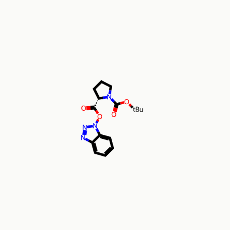 CC(C)(C)OC(=O)N1CCC[C@H]1C(=O)On1nnc2ccccc21